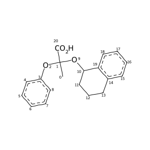 CC(Oc1ccccc1)(OC1CCCc2ccccc21)C(=O)O